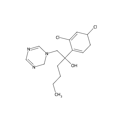 CCCCC(O)(CN1C=NC=NC1)C1=CCC(Cl)C=C1Cl